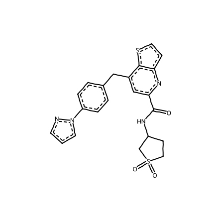 O=C(NC1CCS(=O)(=O)C1)c1cc(Cc2ccc(-n3cccn3)cc2)c2sccc2n1